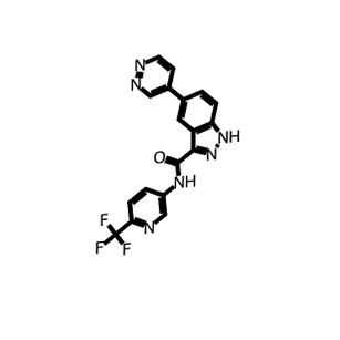 O=C(Nc1ccc(C(F)(F)F)nc1)c1n[nH]c2ccc(-c3ccnnc3)cc12